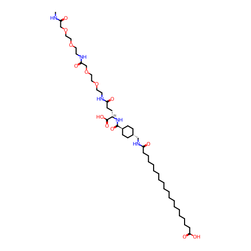 CNC(=O)COCCOCCNC(=O)COCCOCCNC(=O)CC[C@H](NC(=O)[C@H]1CC[C@H](CNC(=O)CCCCCCCCCCCCCCCCCCC(=O)O)CC1)C(=O)O